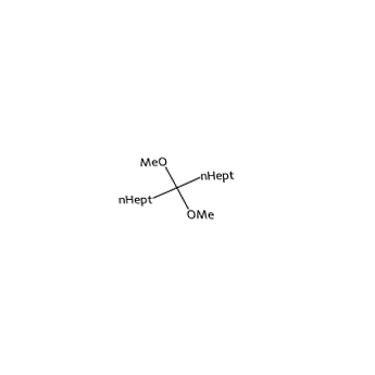 CCCCCCCC(CCCCCCC)(OC)OC